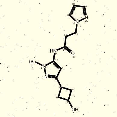 CC(C)(C)n1nc(C2CC(O)C2)cc1NC(=O)CCn1cccn1